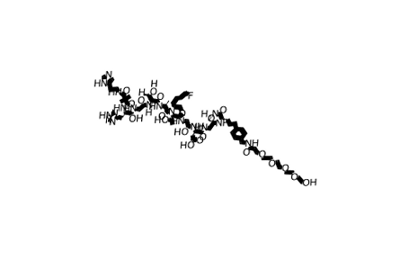 C/C=C(/C=C\C=C\F)N(C(=O)[C@@H](C)NC(=O)[C@@H](NC(O)CNC(O)[C@H](Cc1nn[nH]n1)NC(=O)C(C)(C)C(=O)NCCc1cnc[nH]1)[C@@H](C)O)[C@H](C(=O)NCC(O)N[C@@H](CC(=O)O)C(=O)NCC(=O)N[C@@H](CCCc1ccc(CNC(=O)CCOCCOCCOCCOCCO)cc1)C(N)=O)C(C)O